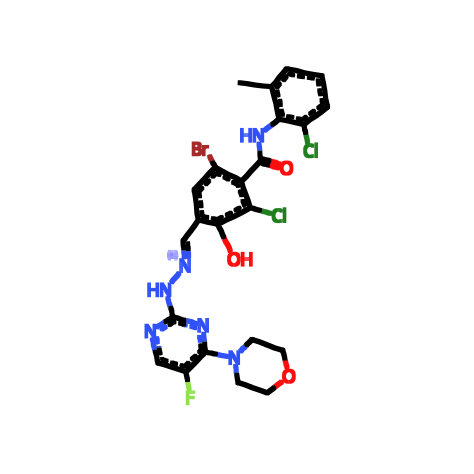 Cc1cccc(Cl)c1NC(=O)c1c(Br)cc(/C=N/Nc2ncc(F)c(N3CCOCC3)n2)c(O)c1Cl